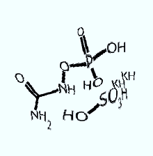 NC(=O)NOP(=O)(O)O.O=S(=O)(O)O.[KH].[KH]